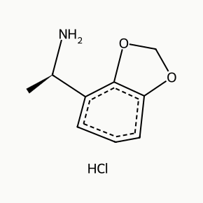 C[C@@H](N)c1cccc2c1OCO2.Cl